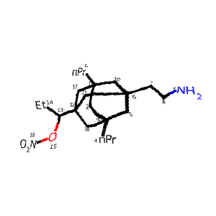 CCCC12CC3(CCC)CC(CCN)(C1)CC(C(CC)O[N+](=O)[O-])(C2)C3